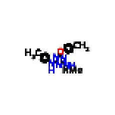 CNNc1nc(Nc2ccc(C)cc2)nc(Oc2ccc(C)cc2)n1